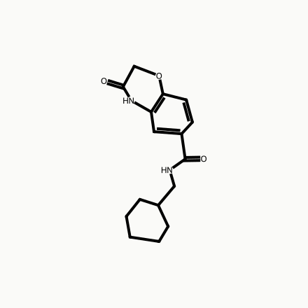 O=C1COc2ccc(C(=O)NCC3CCCCC3)cc2N1